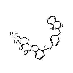 C=C1CCC(N2Cc3c(OCc4ccc(CC5=NCc6ccccc6N5)cc4)cccc3C2=O)C(=O)N1